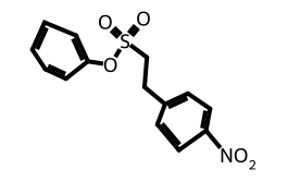 O=[N+]([O-])c1ccc(CCS(=O)(=O)Oc2ccccc2)cc1